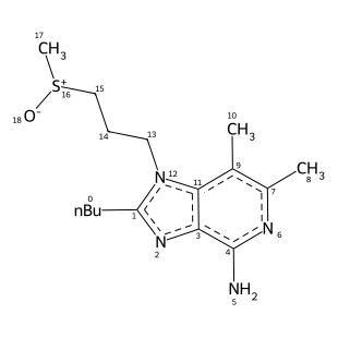 CCCCc1nc2c(N)nc(C)c(C)c2n1CCC[S+](C)[O-]